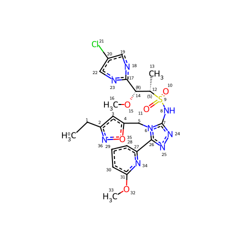 CCc1cc(Cn2c(NS(=O)(=O)[C@@H](C)[C@H](OC)c3ncc(Cl)cn3)nnc2-c2cccc(OC)n2)on1